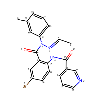 CC=NN(C(=O)c1cc(Br)ccc1NC(=O)c1cccnc1)c1cccc(C)c1